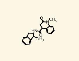 CN1C(=O)CC(C(=O)N[C@H]2Cc3ccccc3C2N)c2ccccc21